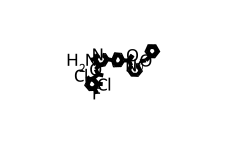 CC(Oc1cc(-c2ccc(C(=O)N3CCCC[C@@H]3COc3ccccc3)cc2)cnc1N)c1c(Cl)ccc(F)c1Cl